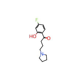 O=C(CCCN1CCCC1)c1ccc(F)cc1O